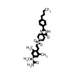 Cc1cc(N(C)C(N)=O)cc(C)c1/C=C/S(=O)(=O)N1CCC2(CC1)N=C(c1ccc(CCCC(F)(F)F)cc1)NC2=O